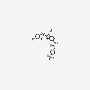 CCCn1c(C(C)(C)Oc2ccc(F)cc2F)nc2cc(NC(=O)Cc3ccc(S(=O)(=O)CC)cc3)ccc21